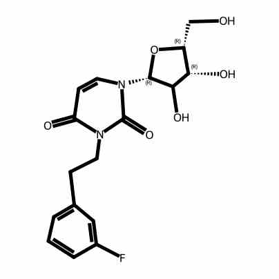 O=c1ccn([C@@H]2O[C@H](CO)[C@H](O)C2O)c(=O)n1CCc1cccc(F)c1